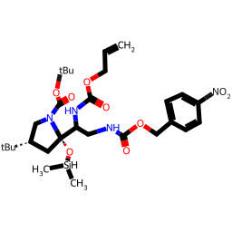 C=CCOC(=O)NC(CNC(=O)OCc1ccc([N+](=O)[O-])cc1)[C@@]1(O[SiH](C)C)C[C@H](C(C)(C)C)CN1C(=O)OC(C)(C)C